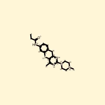 CCC(=O)Nc1ccc2c(c1)Sc1c(C)nc(N3CCN(C)CC3)nc1C2